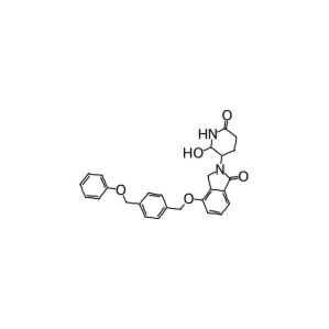 O=C1CCC(N2Cc3c(OCc4ccc(COc5ccccc5)cc4)cccc3C2=O)C(O)N1